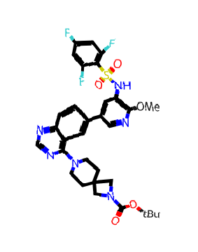 COc1ncc(-c2ccc3ncnc(N4CCC5(CC4)CN(C(=O)OC(C)(C)C)C5)c3c2)cc1NS(=O)(=O)c1c(F)cc(F)cc1F